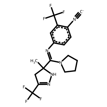 [C-]#[N+]c1ccc(/N=C(\N2CCCC2)C2(C)CC(C(F)(F)F)=NN2)cc1C(F)(F)F